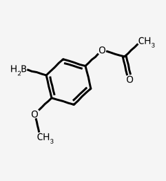 Bc1cc(OC(C)=O)ccc1OC